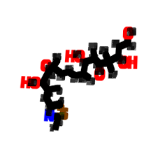 C/C(=C\c1csc(C)n1)C(O)C1OC1(C)CCCC(C)C(O)C(C)C(=O)C(C)(C)C(O)CC=O